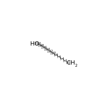 C=CCCCCCCCCCCCCCCCCCCCO